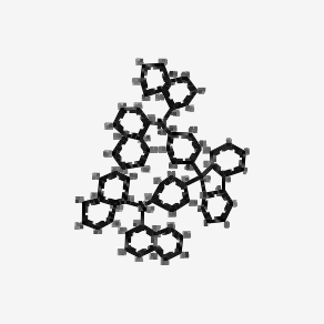 c1ccc2c(c1)-c1ccccc1C2(c1ccc(N(c2cccc3ccccc23)c2cccc3ccccc23)cc1)c1ccc(N(c2cccc3ccccc23)c2cccc3ccccc23)cc1